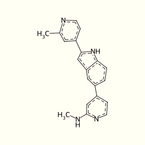 CNc1cc(-c2ccc3[nH]c(-c4ccnc(C)c4)cc3c2)ccn1